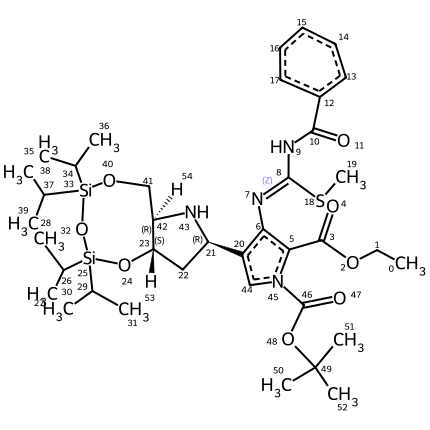 CCOC(=O)c1c(/N=C(/NC(=O)c2ccccc2)SC)c([C@H]2C[C@@H]3O[Si](C(C)C)(C(C)C)O[Si](C(C)C)(C(C)C)OC[C@H]3N2)cn1C(=O)OC(C)(C)C